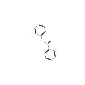 CCCCCc1ccccc1NC(=O)c1ccccc1O